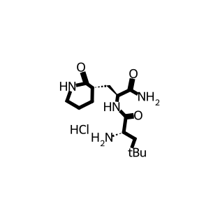 CC(C)(C)C[C@H](N)C(=O)N[C@@H](C[C@@H]1CCCNC1=O)C(N)=O.Cl